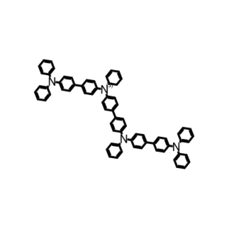 C1=CC[C@H](N(c2ccc(-c3ccc(N(c4ccccc4)c4ccccc4)cc3)cc2)c2ccc(-c3ccc(N(c4ccccc4)c4ccc(-c5ccc(N(c6ccccc6)c6ccccc6)cc5)cc4)cc3)cc2)C=C1